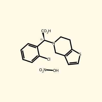 O=C(O)[C@H](c1ccccc1Cl)N1CCc2sccc2C1.O=[N+]([O-])O